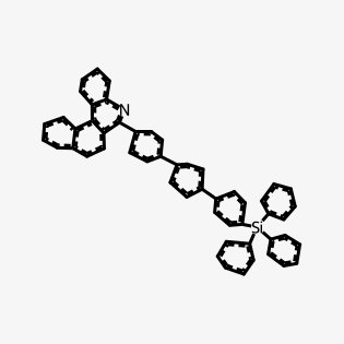 c1ccc([Si](c2ccccc2)(c2ccccc2)c2ccc(-c3ccc(-c4ccc(-c5nc6ccccc6c6c5ccc5ccccc56)cc4)cc3)cc2)cc1